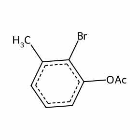 CC(=O)Oc1cccc(C)c1Br